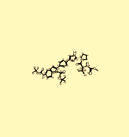 COC(=O)N[C@H](C(=O)N1CCC[C@H]1c1nc(-c2ccc(-c3cc4cc(NC(=O)OC(C)(C)C)ccc4n3C(=O)OC(C)(C)C)cc2)c[nH]1)C(C)C